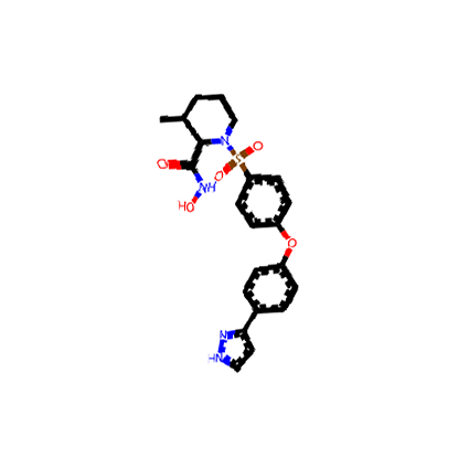 CC1CCCN(S(=O)(=O)c2ccc(Oc3ccc(-c4cc[nH]n4)cc3)cc2)C1C(=O)NO